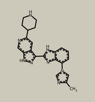 Cc1cn(-c2cccc3[nH]c(-c4n[nH]c5cnc(C6CCNCC6)cc45)nc23)cn1